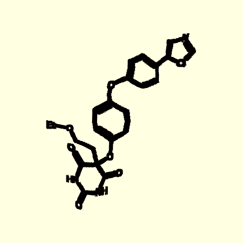 CCOCCC1(Oc2ccc(Oc3ccc(-c4cnco4)cc3)cc2)C(=O)NC(=O)NC1=O